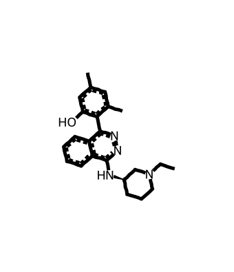 CCN1CCC[C@@H](Nc2nnc(-c3c(C)cc(C)cc3O)c3ccccc23)C1